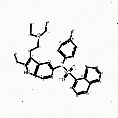 CCc1[nH]c2ccc(N(c3ccc(F)cc3)S(=O)(=O)c3cccc4ccccc34)cc2c1CCN(CC)CC